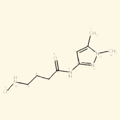 Cc1cc(NC(=O)CCCNCl)nn1C